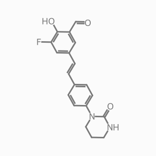 O=Cc1cc(/C=C/c2ccc(N3CCCNC3=O)cc2)cc(F)c1O